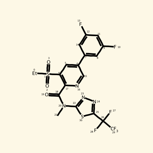 CCS(=O)(=O)c1cc(-c2cc(F)cc(F)c2)cnc1C(=O)N(C)c1nnc(C(F)(F)C(F)(F)F)s1